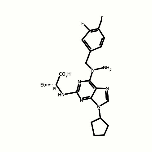 CC[C@@H](Nc1nc(N(N)Cc2ccc(F)c(F)c2)c2ncn(C3CCCC3)c2n1)C(=O)O